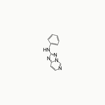 c1ccc(Nc2nc3ccncn3n2)cc1